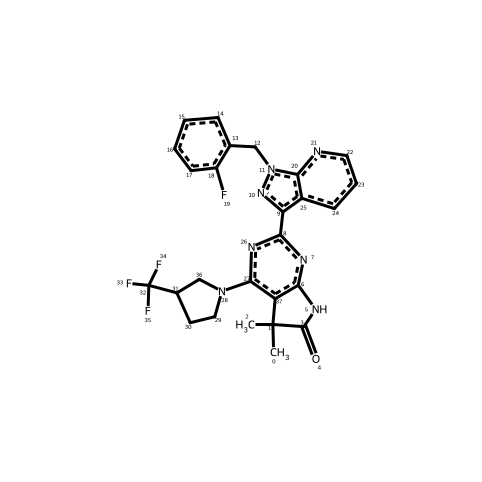 CC1(C)C(=O)Nc2nc(-c3nn(Cc4ccccc4F)c4ncccc34)nc(N3CCC(C(F)(F)F)C3)c21